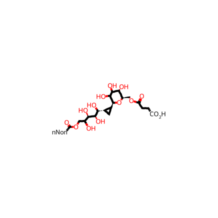 CCCCCCCCCC(=O)OCC(O)[C@@H](O)[C@H](O)C(O)[C@H]1CC1[C@@H]1O[C@H](COC(=O)CCC(=O)O)[C@H](O)C(O)C1O